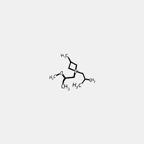 COC(C)C[N+]1(CC(C)C)CC(C)C1